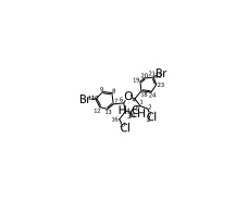 C[C@@H](CCl)C(OC(c1ccc(Br)cc1)[C@@H](C)CCl)c1ccc(Br)cc1